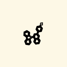 Clc1ccc(-c2cc(-n3c4ccccc4c4ccccc43)c3ccccc3c2)cc1